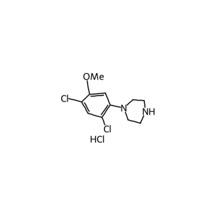 COc1cc(N2CCNCC2)c(Cl)cc1Cl.Cl